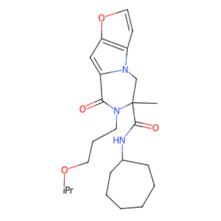 CC(C)OCCCN1C(=O)c2cc3occc3n2CC1(C)C(=O)NC1CCCCCC1